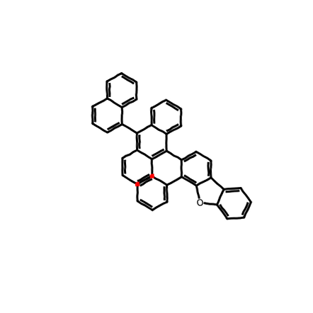 c1ccc(-c2c(-c3c4ccccc4c(-c4cccc5ccccc45)c4ccccc34)ccc3c2oc2ccccc23)cc1